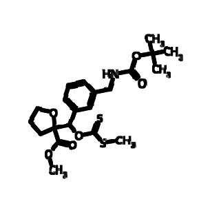 COC(=O)C1(C(OC(=S)SC)c2cccc(CNC(=O)OC(C)(C)C)c2)CCCO1